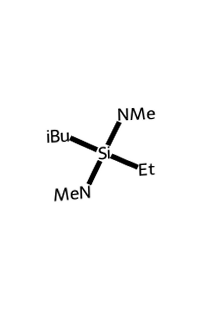 CCC(C)[Si](CC)(NC)NC